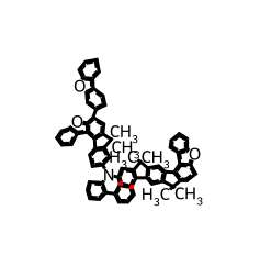 CC1(C)c2cc(N(c3ccc4c(c3)C(C)(C)c3cc(-c5ccc6c(c5)oc5ccccc56)c5oc6ccccc6c5c3-4)c3ccccc3-c3ccccc3)ccc2-c2cc3c(cc21)-c1c(ccc2oc4ccccc4c12)C3(C)C